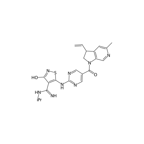 C=CC1CN(C(=O)c2cnc(Nc3snc(O)c3C(=N)NC(C)C)nc2)c2cnc(C)cc21